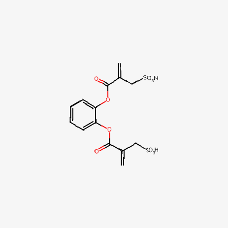 C=C(CS(=O)(=O)O)C(=O)Oc1ccccc1OC(=O)C(=C)CS(=O)(=O)O